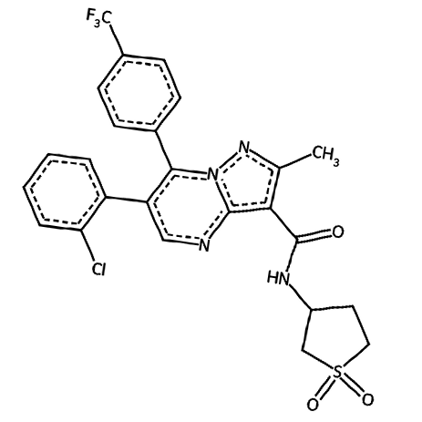 Cc1nn2c(-c3ccc(C(F)(F)F)cc3)c(-c3ccccc3Cl)cnc2c1C(=O)NC1CCS(=O)(=O)C1